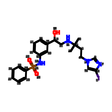 CC(C)(CCn1cnc(I)c1)NCC(O)c1cccc(NS(=O)(=O)c2ccccc2)c1